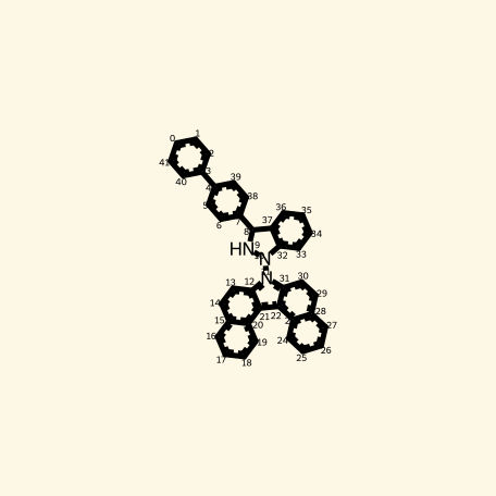 c1ccc(-c2ccc(C3NN(n4c5ccc6ccccc6c5c5c6ccccc6ccc54)c4ccccc43)cc2)cc1